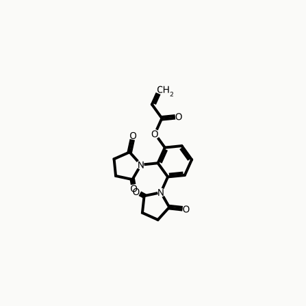 C=CC(=O)Oc1cccc(N2C(=O)CCC2=O)c1N1C(=O)CCC1=O